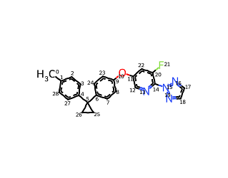 Cc1ccc(C2(c3ccc(Oc4cnc(-n5nccn5)c(F)c4)cc3)CC2)cc1